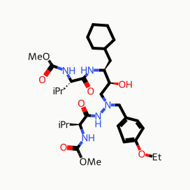 CCOc1ccc(CN(C[C@H](O)[C@H](CC2CCCCC2)NC(=O)[C@@H](NC(=O)OC)C(C)C)NC(=O)[C@@H](NC(=O)OC)C(C)C)cc1